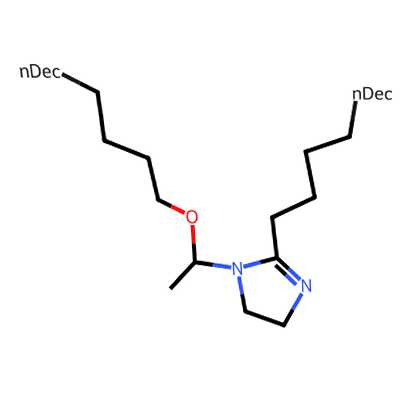 CCCCCCCCCCCCCCOC(C)N1CCN=C1CCCCCCCCCCCCCC